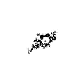 CCn1c(-c2ccccc2CCOC)c2c3cc(ccc31)-c1cc(O)cc(c1)C[C@H](NC(=O)[C@H](C(C)C)N(C)C(=O)[C@@]1(O)CCN(C(=O)C#CCN(C)C)C1)C(=O)N1CCC[C@H](N1)C(=O)OCC(C)(C)C2